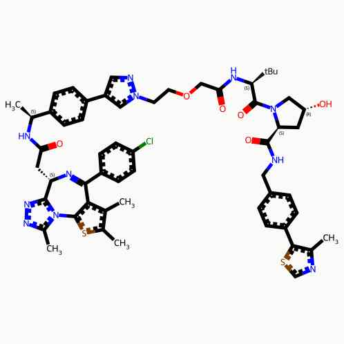 Cc1ncsc1-c1ccc(CNC(=O)[C@@H]2C[C@@H](O)CN2C(=O)[C@@H](NC(=O)COCCn2cc(-c3ccc([C@H](C)NC(=O)C[C@@H]4N=C(c5ccc(Cl)cc5)c5c(sc(C)c5C)-n5c(C)nnc54)cc3)cn2)C(C)(C)C)cc1